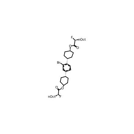 CCCCCCCC[C@H](F)C(=O)O[C@H]1CC[C@H](c2ccc([C@H]3CC[C@H](OC(=O)[C@@H](F)CCCCCCCC)CC3)c(Br)c2)CC1